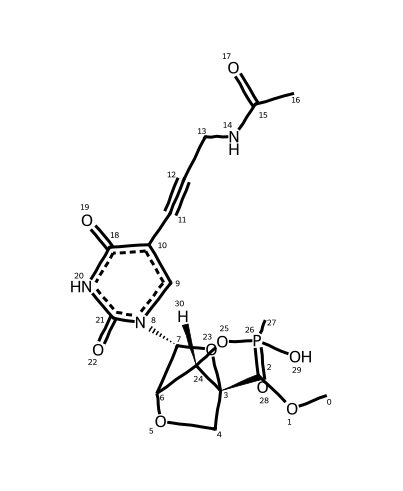 COC[C@]12COC([C@H](n3cc(C#CCNC(C)=O)c(=O)[nH]c3=O)O1)[C@@H]2OP(C)(=O)O